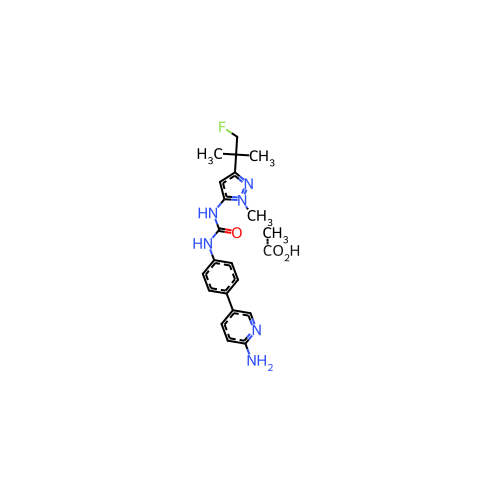 CC(=O)O.Cn1nc(C(C)(C)CF)cc1NC(=O)Nc1ccc(-c2ccc(N)nc2)cc1